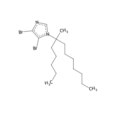 CCCCCCCC(C)(CCCCC)n1cnc(Br)c1Br